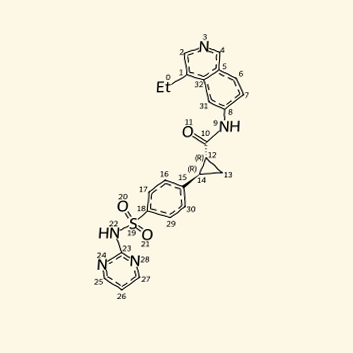 CCc1cncc2ccc(NC(=O)[C@@H]3C[C@H]3c3ccc(S(=O)(=O)Nc4ncccn4)cc3)cc12